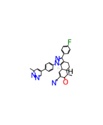 Cc1cc(-c2ccc(-n3nc(-c4ccc(F)cc4)c4c3[C@]3(C)C=C(C#N)C(=O)[C@H](C)[C@H]3CC4)cc2)cnn1